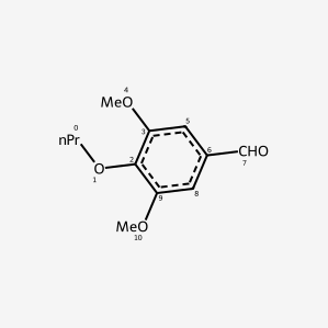 CCCOc1c(OC)cc(C=O)cc1OC